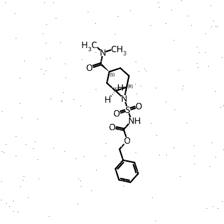 CN(C)C(=O)[C@H]1CC[C@@H]2[C@H](C1)N2S(=O)(=O)NC(=O)OCc1ccccc1